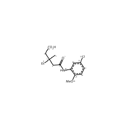 CCC(C)(CC(=O)O)CC(=O)Nc1cc(Cl)ccc1OC